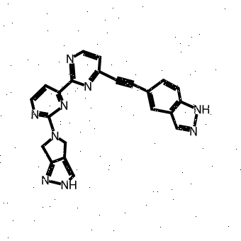 C(#Cc1ccnc(-c2ccnc(N3Cc4c[nH]nc4C3)n2)n1)c1ccc2[nH]ncc2c1